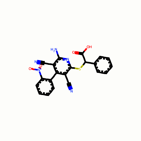 N#Cc1c(N)nc(SC(C(=O)O)c2ccccc2)c(C#N)c1-c1ccccc1[N+](=O)[O-]